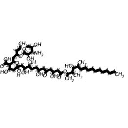 C/C=C/C=C/C=C/C=C/C=C/C(C)C(O)C(C)C(C)OC(=O)CC(O)CC(=O)CC(O)CCC(O)C(O)CC1(O)CC(O)C(C(=O)O)C(CC(/C=C/C)OC2OC[C@@H](O)[C@H](N)[C@@H]2O)O1